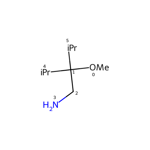 COC(CN)(C(C)C)C(C)C